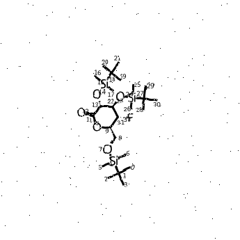 CC(C)(C)[Si](C)(C)OC[C@H]1OC(=O)[C@H](O[Si](C)(C)C(C)(C)C)[C@@H](O[Si](C)(C)C(C)(C)C)[C@@H]1F